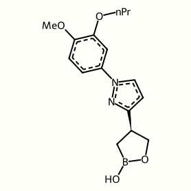 CCCOc1cc(-n2ccc([C@H]3COB(O)C3)n2)ccc1OC